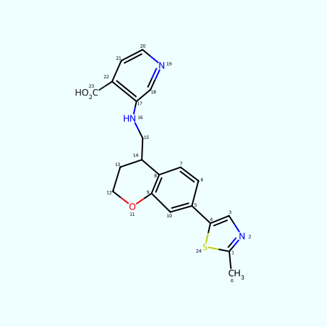 Cc1ncc(-c2ccc3c(c2)OCCC3CNc2cnccc2C(=O)O)s1